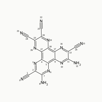 N#Cc1nc2c(nc1N)c1nc(N)c(C#N)nc1c1nc(C#N)c(C#N)nc21